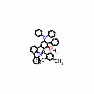 Cc1cc(C)c(B2c3c(cc(N(c4ccccc4)c4ccccc4)c4c3oc3ccccc34)-c3cccc4c5ccccc5n2c34)c(C)c1